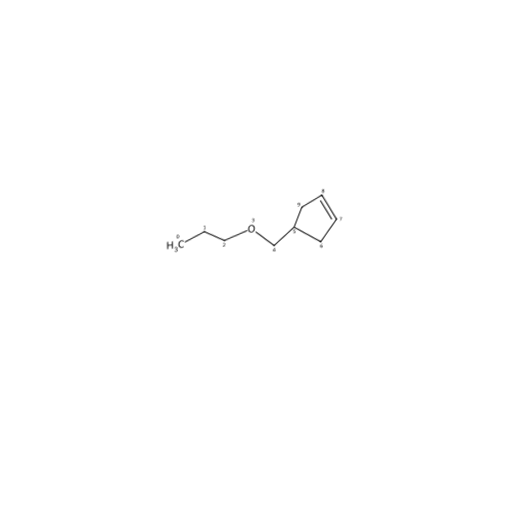 CCCOCC1CC=CC1